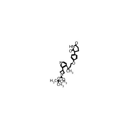 CN(CCOc1ccc(C2CCC(=O)NC2=O)cc1)c1ccncc1C1CN(C(=O)OC(C)(C)C)C1